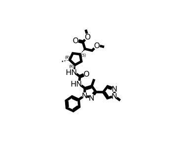 COCC(C(=O)OC)[C@H]1C[C@@H](C)[C@H](NC(=O)Nc2c(C)c(-c3cnn(C)c3)nn2-c2ccccc2)C1